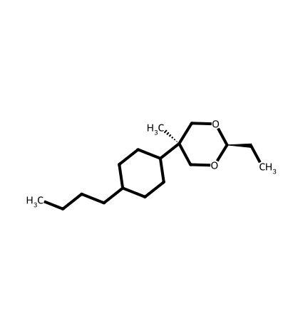 CCCCC1CCC([C@]2(C)CO[C@H](CC)OC2)CC1